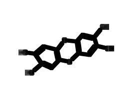 Oc1cc2c(cc1O)Oc1cc(O)c(O)cc1O2